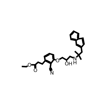 CCOC(=O)CCc1cccc(OC[C@H](O)CNC(C)(C)Cc2ccc3ccccc3c2)c1C#N